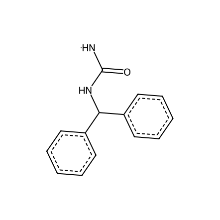 [NH]C(=O)NC(c1ccccc1)c1ccccc1